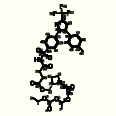 CCOC(=O)OC(C)On1on1N1CC[C@H]1COC(=O)CCC(=O)NS(=O)(=O)c1ccc(-n2nc(C(F)(F)F)cc2-c2ccc(C)cc2)cc1